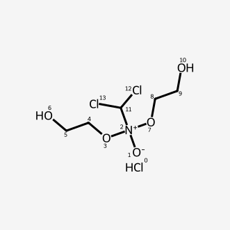 Cl.[O-][N+](OCCO)(OCCO)C(Cl)Cl